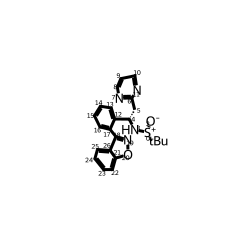 CC(C)(C)[S@+]([O-])N[C@@H](Cc1ncccn1)c1ccccc1-c1noc2ccccc12